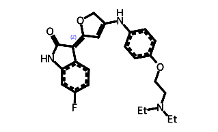 CCN(CC)CCOc1ccc(NC2=C/C(=C3/C(=O)Nc4cc(F)ccc43)OC2)cc1